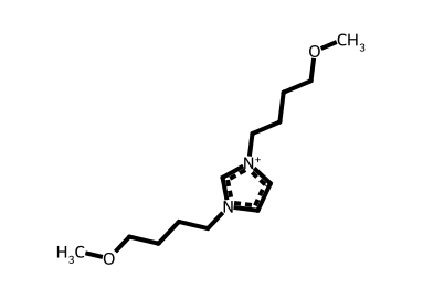 COCCCCn1cc[n+](CCCCOC)c1